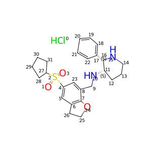 Cl.O=S(=O)(c1cc2c(c(CN[C@H]3CCCN[C@H]3c3ccccc3)c1)OCC2)C1CCCC1